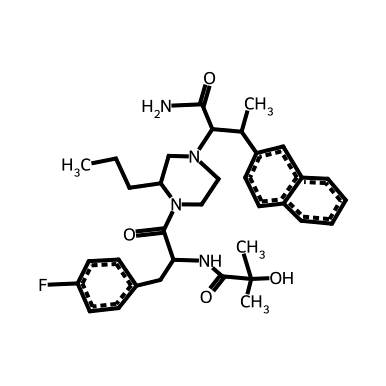 CCCC1CN(C(C(N)=O)C(C)c2ccc3ccccc3c2)CCN1C(=O)C(Cc1ccc(F)cc1)NC(=O)C(C)(C)O